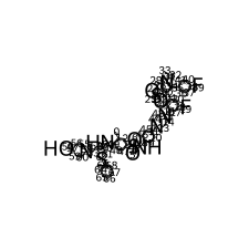 Cc1cc(S(=O)(=O)Nc2ccc(N3CCN(c4cc(F)cc(-c5c(S(C)(=O)=O)c(C)n(C(C)C)c5-c5ccc(F)cc5)c4)CC3)cc2)ccc1N[C@H](CCN1CCC(O)CC1)CSc1ccccc1